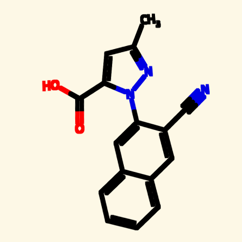 Cc1cc(C(=O)O)n(-c2cc3ccccc3cc2C#N)n1